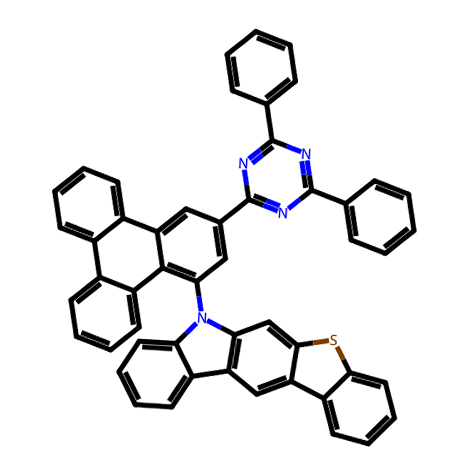 c1ccc(-c2nc(-c3ccccc3)nc(-c3cc(-n4c5ccccc5c5cc6c(cc54)sc4ccccc46)c4c5ccccc5c5ccccc5c4c3)n2)cc1